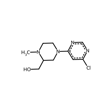 CN1CCN(c2cc(Cl)ncn2)CC1CO